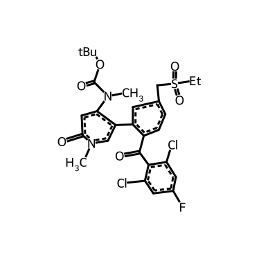 CCS(=O)(=O)Cc1ccc(C(=O)c2c(Cl)cc(F)cc2Cl)c(-c2cn(C)c(=O)cc2N(C)C(=O)OC(C)(C)C)c1